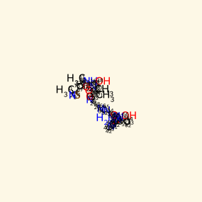 Cc1ncsc1-c1ccc([C@H](C)NC(=O)[C@@H]2C[C@@H](O)CN2C(=O)[C@H](c2cc(CCCN3CCN(CCOc4cc(N5C6CCC5CN(c5cc(-c7ccccc7O)nnc5N)C6)ccn4)CC3)no2)C(C)C)cc1